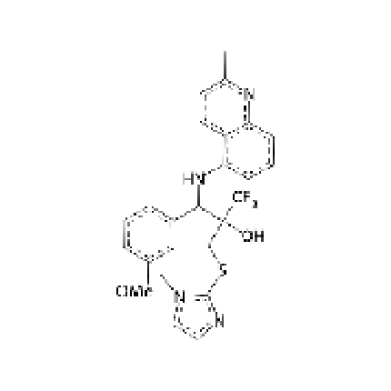 COc1cccc(C(Nc2cccc3nc(C)ccc23)C(O)(CSc2nccn2C)C(F)(F)F)c1